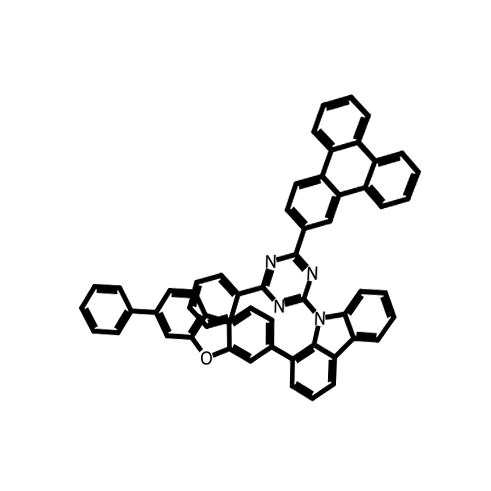 c1ccc(-c2ccc3c(c2)oc2cc(-c4cccc5c6ccccc6n(-c6nc(-c7ccccc7)nc(-c7ccc8c9ccccc9c9ccccc9c8c7)n6)c45)ccc23)cc1